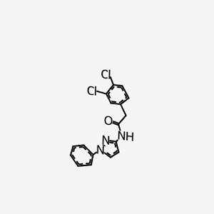 O=C(Cc1ccc(Cl)c(Cl)c1)Nc1ccn(-c2ccccc2)n1